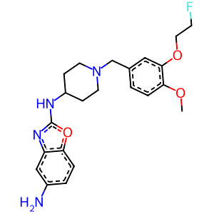 COc1ccc(CN2CCC(Nc3nc4cc(N)ccc4o3)CC2)cc1OCCF